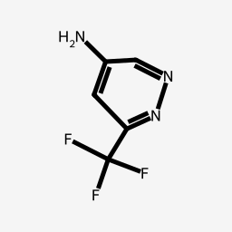 Nc1cnnc(C(F)(F)F)c1